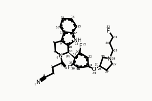 C=C(CCC#N)N1CCc2c([nH]c3ccccc23)[C@H]1c1c(F)cc(O[C@H]2CCN(CCCF)C2)cc1F